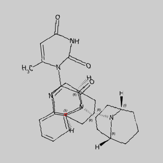 Cc1cc(=O)[nH]c(=O)n1-c1nc2ccccc2n([C@H]2C[C@H]3CCC[C@@H](C2)N3[C@H]2C[C@@H]3CCC[C@@H](C3)C2)c1=O